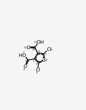 O=C(O)c1c(Cl)sc(Cl)c1C(=O)O